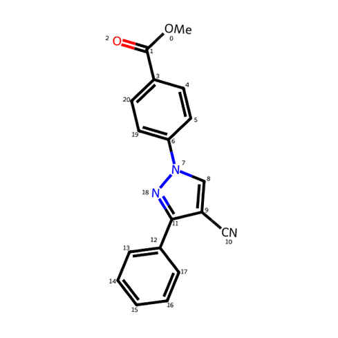 COC(=O)c1ccc(-n2cc(C#N)c(-c3ccccc3)n2)cc1